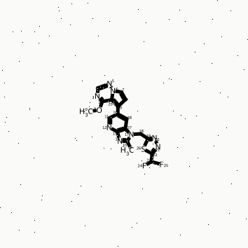 COc1ncnn2ccc(-c3cnc4nc(C)n(Cc5nnc(C(F)F)s5)c4c3)c12